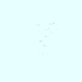 NC(=O)c1c(NC(=O)CC2CCCC2)sc2c1CCC2